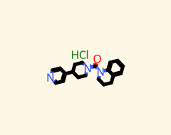 Cl.O=C(N1CCC(c2ccncc2)CC1)N1CCCc2ccccc21